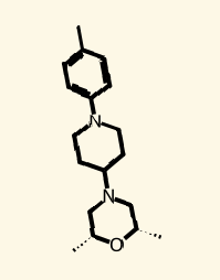 Cc1ccc(N2CCC(N3C[C@@H](C)O[C@@H](C)C3)CC2)cc1